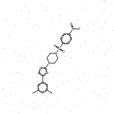 O=[N+]([O-])c1ccc(S(=O)(=O)N2CCN(c3nc(-c4cc(F)cc(F)c4)cs3)CC2)cc1